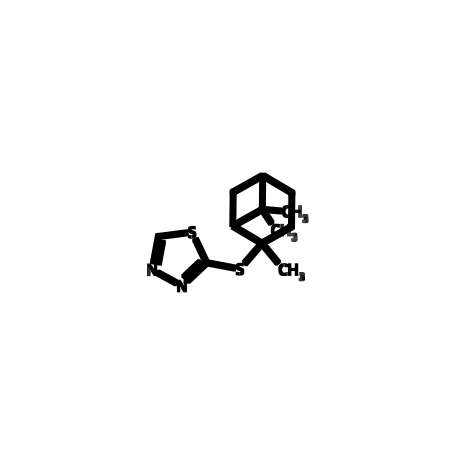 CC1(Sc2nncs2)CCC2CC1C2(C)C